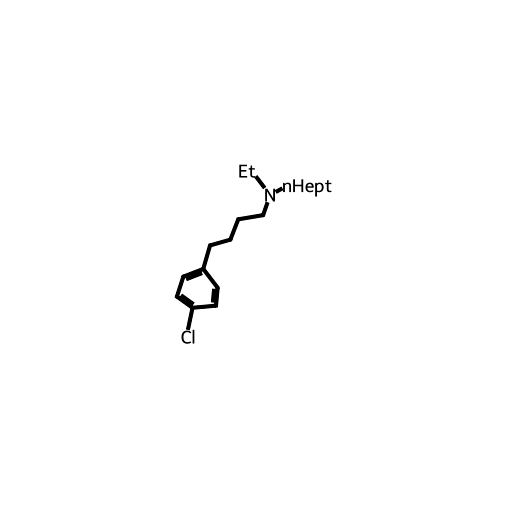 CCCCCCCN(CC)CCCCc1ccc(Cl)cc1